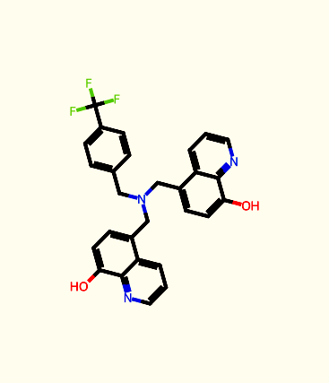 Oc1ccc(CN(Cc2ccc(C(F)(F)F)cc2)Cc2ccc(O)c3ncccc23)c2cccnc12